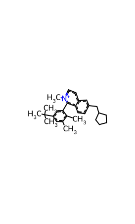 Cc1cc(C(C)(C)C)cc(-c2c3ccc(CC4CCCC4)cc3cc[n+]2C)c1C